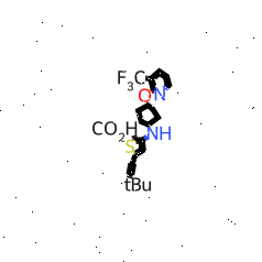 CC(C)(C)C#Cc1cc(N[C@H]2CC[C@H](Oc3ncccc3C(F)(F)F)CC2)c(C(=O)O)s1